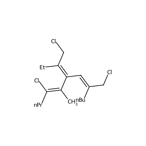 CCCCC(=CC(=C(CC)CCl)C(C)=C(Cl)CCC)CCl